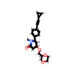 Cn1c(-c2ccc(C#CC3CC3)cc2)cc(OCC2COCCO2)cc1=O